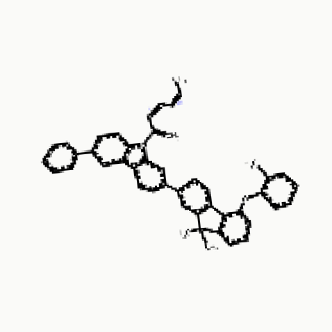 C=C(/C=C\C=C/C)n1c2ccc(-c3ccccc3)cc2c2ccc(-c3ccc4c(c3)C(C)(C)c3cccc(Oc5ccccc5C)c3-4)cc21